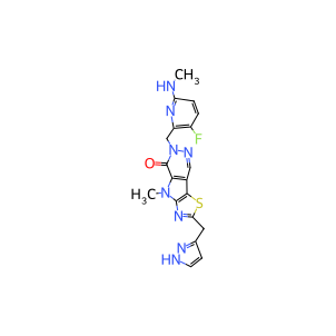 CNc1ccc(F)c(Cn2ncc3c4sc(Cc5cc[nH]n5)nc4n(C)c3c2=O)n1